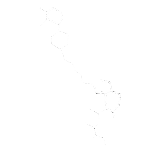 CPN(C(=O)OC(C)n1c(=O)ccc2ccc(OCCCCN3CCN(c4cccc(Cl)c4Cl)CC3)cc21)C(C)C